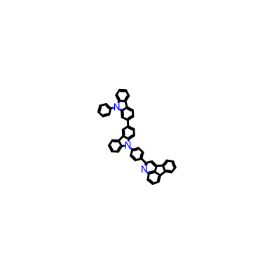 c1ccc(-n2c3ccccc3c3ccc(-c4ccc5c(c4)c4ccccc4n5-c4ccc(-c5cc6c7c(cccc7n5)-c5ccccc5-6)cc4)cc32)cc1